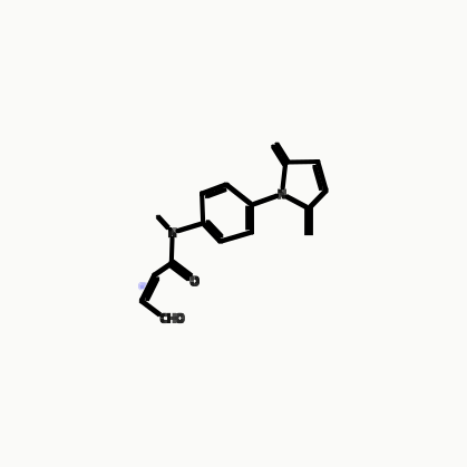 C=c1ccc(=C)n1-c1ccc(N(C)C(=O)/C=C\C=O)cc1